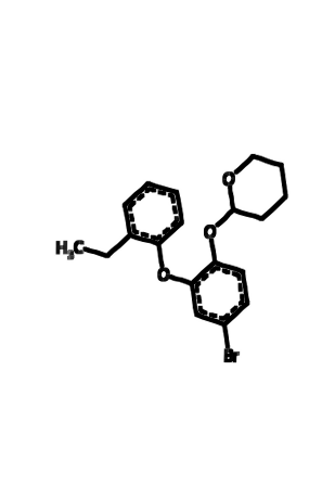 CCc1ccccc1Oc1cc(Br)ccc1OC1CCCCO1